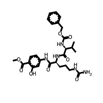 COC(=O)c1ccc(NC(=O)[C@H](CCCNC(N)=O)NC(=O)[C@@H](NC(=O)OCc2ccccc2)C(C)C)cc1O